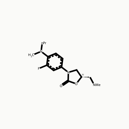 CCCN(C)c1ccc(N2C[C@H](CNC)OC2=O)cc1F